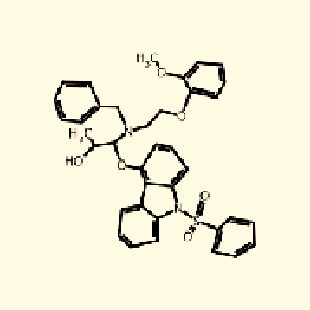 COc1ccccc1OCCN(Cc1ccccc1)C(Oc1cccc2c1c1ccccc1n2S(=O)(=O)c1ccccc1)C(C)O